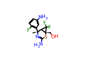 C[C@]1(c2cc(N)ccc2F)N=C(N)S[C@]2(CO)C1C2(F)F